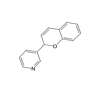 C1=CC(c2cccnc2)Oc2ccccc21